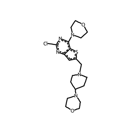 Clc1nc(N2CCOCC2)c2sc(CN3CCC(N4CCOCC4)CC3)cc2n1